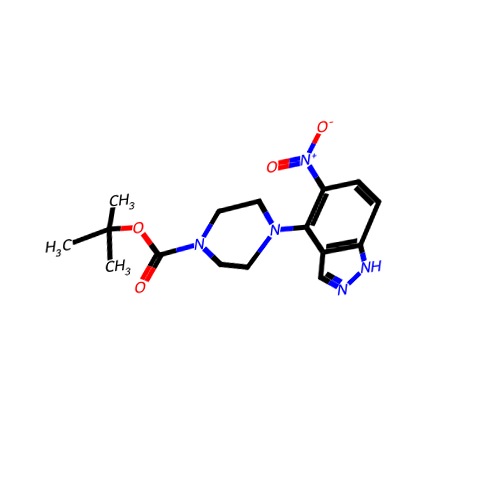 CC(C)(C)OC(=O)N1CCN(c2c([N+](=O)[O-])ccc3[nH]ncc23)CC1